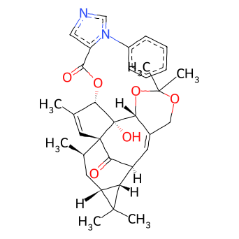 CC1=C[C@]23C(=O)[C@@H](C=C4COC(C)(C)O[C@H]4[C@]2(O)[C@H]1OC(=O)c1cncn1-c1ccccc1)[C@H]1[C@@H](C[C@H]3C)C1(C)C